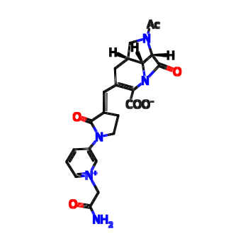 CC(=O)N1C[C@H]2CC(/C=C3\CCN(c4ccc[n+](CC(N)=O)c4)C3=O)=C(C(=O)[O-])N3C(=O)[C@@H]1[C@@H]23